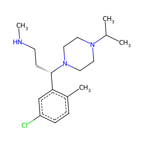 CNCC[C@@H](c1cc(Cl)ccc1C)N1CCN(C(C)C)CC1